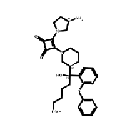 COCCCC[C@@](O)(c1ccccc1Oc1ccccc1)[C@@H]1CCCN(c2c(N3CC[C@@H](N)C3)c(=O)c2=O)C1